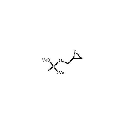 CO[Si](C)(OC)OCC1CO1